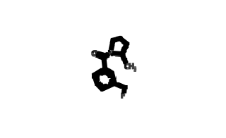 CC1CCCN1C(=O)c1cccc(CF)c1